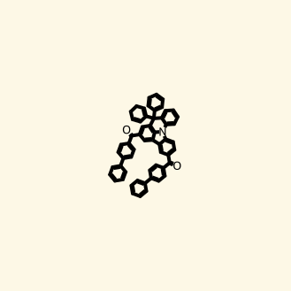 O=C(c1ccc(-c2ccccc2)cc1)c1ccc2c(c1)c1cc(C(=O)c3ccc(-c4ccccc4)cc3)cc3c1n2-c1ccccc1C3(C1=CCCC=C1)c1ccccc1